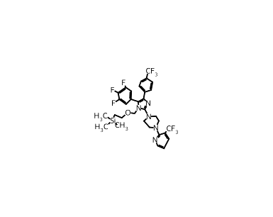 C[Si](C)(C)CCOCn1c(N2CCN(c3ncccc3C(F)(F)F)CC2)nc(-c2ccc(C(F)(F)F)cc2)c1-c1cc(F)c(F)c(F)c1